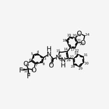 O=C(Nc1ccc2c(c1)OC(F)(F)O2)N1CC(c2ccc3c(c2)OCO3)=C(c2ccccc2)N1